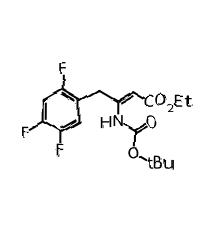 CCOC(=O)/C=C(/Cc1cc(F)c(F)cc1F)NC(=O)OC(C)(C)C